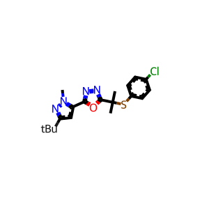 Cn1nc(C(C)(C)C)cc1-c1nnc(C(C)(C)Sc2ccc(Cl)cc2)o1